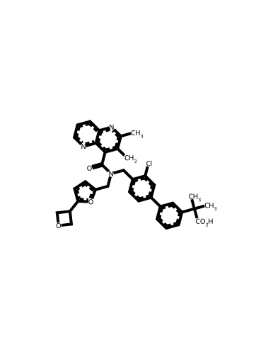 Cc1nc2cccnc2c(C(=O)N(Cc2ccc(C3COC3)o2)Cc2ccc(-c3cccc(C(C)(C)C(=O)O)c3)cc2Cl)c1C